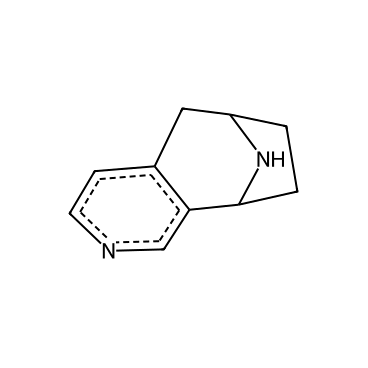 c1cc2c(cn1)C1CCC(C2)N1